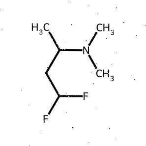 CC(CC(F)F)N(C)C